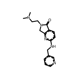 CN(C)CCN1Cc2nc(NCc3cccnc3)ccc2C1=O